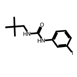 CC(C)(C)CNC(=O)Nc1cccc(I)c1